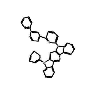 C1=CCCC(n2c3ccccc3c3cc4c5ccccc5n(-c5cccc(-c6cccc(-c7ccccc7)c6)n5)c4cc32)=C1